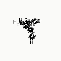 C=NNC(=O)c1c(C)nc(N2CC[S+]([O-])CC2)nc1Nc1ccc(CN2CCNCC2)cc1